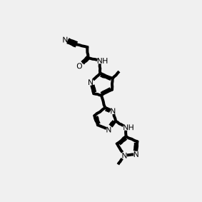 Cc1cc(-c2ccnc(Nc3cnn(C)c3)n2)cnc1NC(=O)CC#N